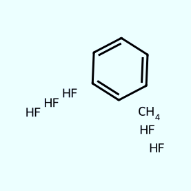 C.F.F.F.F.F.c1ccccc1